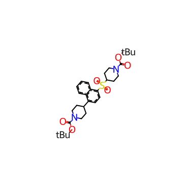 CC(C)(C)OC(=O)N1CCC(c2ccc(S(=O)(=O)C3CCN(C(=O)OC(C)(C)C)CC3)c3ccccc23)CC1